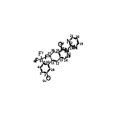 COc1ccc(C(F)(F)F)c(C2=Cc3cnn(-c4ncccn4)c(=O)c3CC2)c1